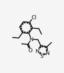 CCc1ccc(Cl)c(CC)c1N(Cc1nsnc1C)C(C)=O